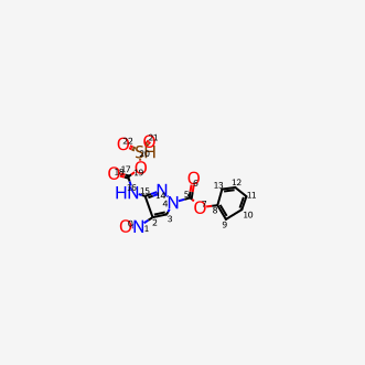 O=Nc1cn(C(=O)Oc2ccccc2)nc1NC(=O)O[SH](=O)=O